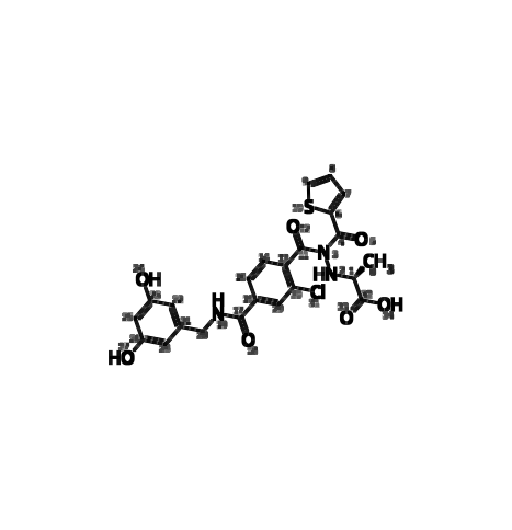 C[C@H](NN(C(=O)c1cccs1)C(=O)c1ccc(C(=O)NCc2cc(O)cc(O)c2)cc1Cl)C(=O)O